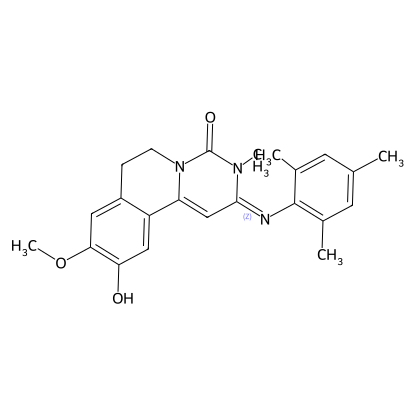 COc1cc2c(cc1O)-c1c/c(=N/c3c(C)cc(C)cc3C)n(C)c(=O)n1CC2